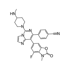 CNC1CCN(c2nc(-c3ccc(C#N)cc3)c(-c3cc(F)c4c(c3)oc(=O)n4C)c3nccn23)CC1